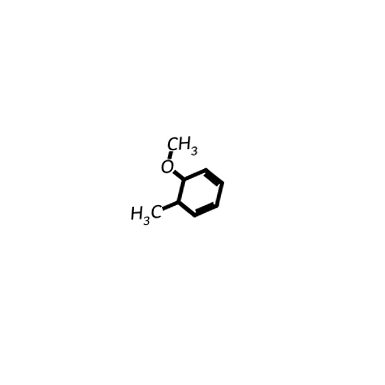 COC1C=CC=CC1C